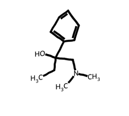 CCC(O)(CN(C)C)c1ccccc1